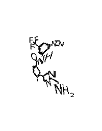 Cc1ccc(C(=O)Nc2cc(-n3ccnc3)cc(C(F)(F)F)c2)cc1-c1cnc(CN)nc1